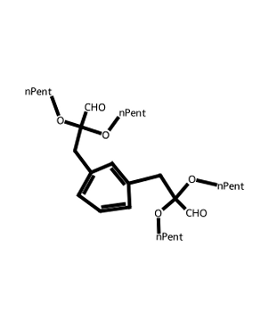 CCCCCOC(C=O)(Cc1[c]c(CC(C=O)(OCCCCC)OCCCCC)ccc1)OCCCCC